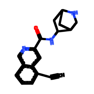 C#Cc1cccc2cnc(C(=O)NC3CC4CC3CN4)cc12